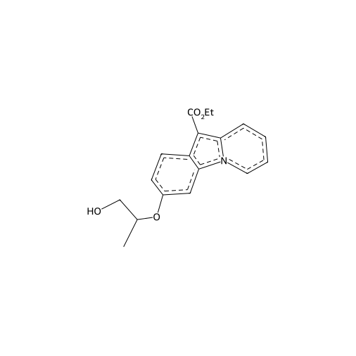 CCOC(=O)c1c2ccc(OC(C)CO)cc2n2ccccc12